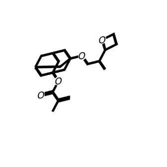 C=C(C)C(=O)OC12CC3CC(CC(OCC(C)C4CCO4)(C3)C1)C2